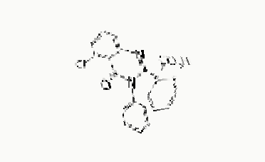 O=C(O)[C@@]1(c2nc3cccc(Cl)c3c(=O)n2-c2ccccc2)C=CC=CC1